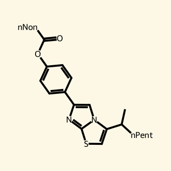 CCCCCCCCCC(=O)Oc1ccc(-c2cn3c(C(C)CCCCC)csc3n2)cc1